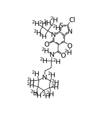 [2H]Oc1c(C(=O)N([2H])C([2H])([2H])CCN2C([2H])([2H])C([2H])([2H])C([2H])([2H])C([2H])([2H])C2([2H])[2H])c(=O)n(C([2H])(C([2H])([2H])[2H])C([2H])([2H])[2H])c2sc(Cl)nc12